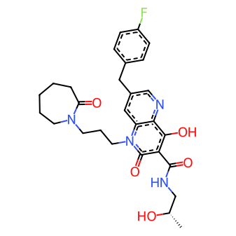 C[C@H](O)CNC(=O)c1c(O)c2ncc(Cc3ccc(F)cc3)cc2n(CCCN2CCCCCC2=O)c1=O